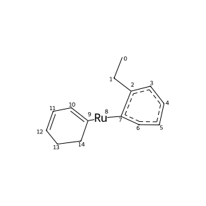 CCc1cccc[c]1[Ru][C]1=CC=CCC1